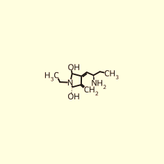 C=C1/C(=C\[C@H](N)CC)C(O)N(CC)[C@H]1O